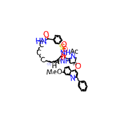 COc1ccc2c(O[C@@H]3C[C@@H](C(=O)N[C@]45C[C@@H]4/C=C\CCCCCNC(=O)c4cccc(c4)S(=O)(=O)NC5=O)N(C(C)=O)C3)cc(-c3ccccc3)nc2c1